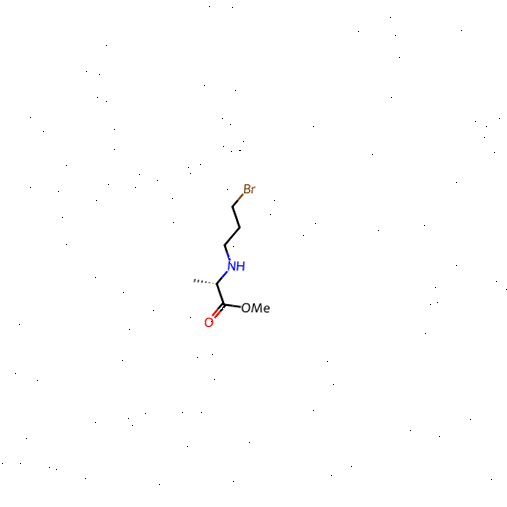 COC(=O)[C@H](C)NCCCBr